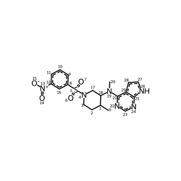 CC1CCN(S(=O)(=O)c2cccc([N+](=O)[O-])c2)CC1N(C)c1ncnc2[nH]ccc12